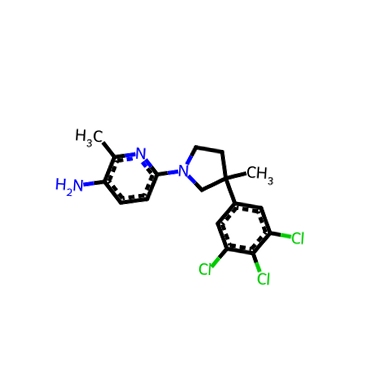 Cc1nc(N2CCC(C)(c3cc(Cl)c(Cl)c(Cl)c3)C2)ccc1N